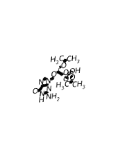 CC(C)OC[C@H](COP(=O)(O)OC(C)C)OCN1C=NC2C(=O)NC(N)=NC21